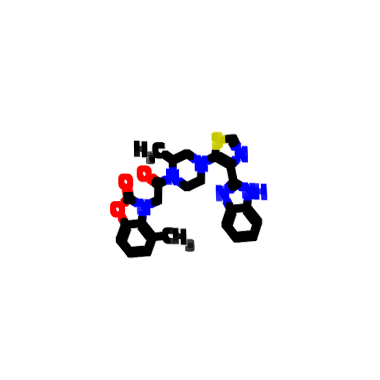 Cc1cccc2oc(=O)n(CC(=O)N3CCN(c4scnc4-c4nc5ccccc5[nH]4)CC3C)c12